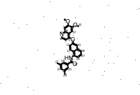 COc1cc2nccc(Oc3ccc4c(NC(=O)c5cc(C)cc(C)c5)cccc4c3)c2cc1OC